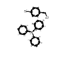 ClCc1ccc(Cl)cc1.c1ccc(P(c2ccccc2)c2ccccc2)cc1